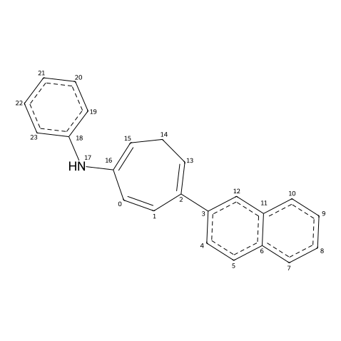 C1=CC(c2ccc3ccccc3c2)=CCC=C1Nc1ccccc1